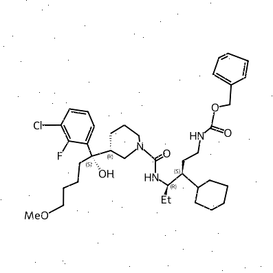 CC[C@@H](NC(=O)N1CCC[C@@H]([C@@](O)(CCCCOC)c2cccc(Cl)c2F)C1)[C@@H](CCNC(=O)OCc1ccccc1)C1CCCCC1